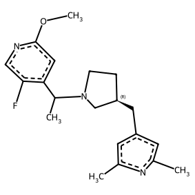 COc1cc(C(C)N2CC[C@@H](Cc3cc(C)nc(C)c3)C2)c(F)cn1